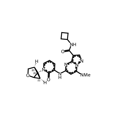 CNc1cc(Nc2cccn([C@]34C5OC[C@@H]3[C@H]54)c2=O)nc2c(C(=O)NC3CCC3)cnn12